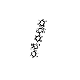 CN(NC(=O)c1ccc(C(=O)NN(C)C(=S)c2ccccc2)cc1)C(=S)c1ccccc1